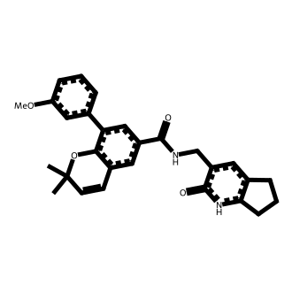 COc1cccc(-c2cc(C(=O)NCc3cc4c([nH]c3=O)CCC4)cc3c2OC(C)(C)C=C3)c1